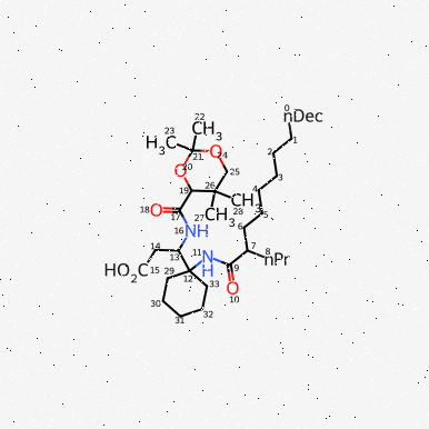 CCCCCCCCCCCCCCCCC(CCC)C(=O)NC1(C(CC(=O)O)NC(=O)C2OC(C)(C)OCC2(C)C)CCCCC1